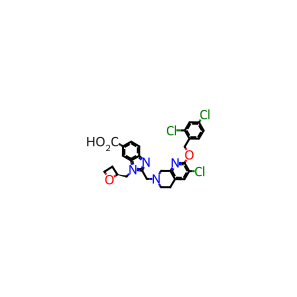 O=C(O)c1ccc2nc(CN3CCc4cc(Cl)c(OCc5ccc(Cl)cc5Cl)nc4C3)n(C[C@@H]3CCO3)c2c1